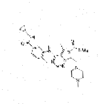 CNC(=O)c1c(C)c2c(Nc3cc(C(=O)NC4CC4)ccc3C)ncnn2c1CN1CCN(C)CC1